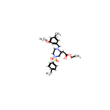 CCOC(=O)CC1CN(S(=O)(=O)c2ccc(C)cc2)CCN1Cc1cc(C)cc(OC)c1